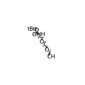 C#CCOCCCOCCNC(=O)OC(C)(C)C